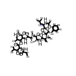 C=C(C(=O)N[C@@H](C)C(=O)N(C)[C@@H](C)C(=O)N[C@H](C(=O)NC)[C@H](OC(=O)[C@@H](NC(=O)CC)[C@H](O)C(C)C)C(C)C)N(C)C(=O)[C@@H](Cc1ccccc1)OC(=O)/C(=C/C(C)C)NC(C)=O